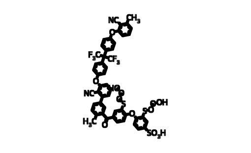 Cc1ccc(-c2cccc(Oc3ccc(C(c4ccc(Oc5cccc(C)c5C#N)cc4)(C(F)(F)F)C(F)(F)F)cc3)c2C#N)cc1C(=O)c1ccc(Oc2ccc(S(=O)(=O)O)cc2SOOO)c(SOOO)c1